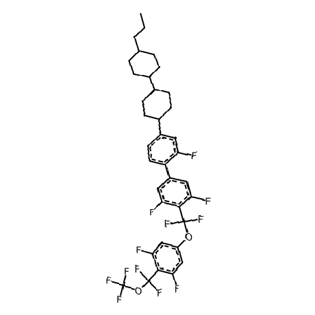 CCCC1CCC(C2CCC(c3ccc(-c4cc(F)c(C(F)(F)Oc5cc(F)c(C(F)(F)OC(F)(F)F)c(F)c5)c(F)c4)c(F)c3)CC2)CC1